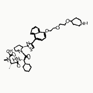 C[C@@H](C(=O)N[C@H](C(=O)N1CCC[C@H]1c1nc(-c2ccc(OCCOCCOC3CCNCC3)c3ccccc23)cs1)C1CCCCC1)N(C)C(=O)O